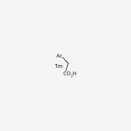 CC(=O)CC(=O)O.[Tm]